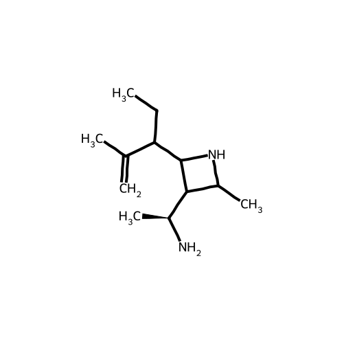 C=C(C)C(CC)C1NC(C)C1[C@H](C)N